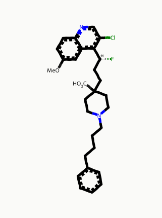 COc1ccc2ncc(Cl)c([C@H](F)CCC3(C(=O)O)CCN(CCCCc4ccccc4)CC3)c2c1